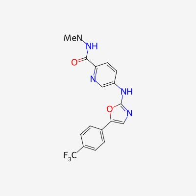 CNNC(=O)c1ccc(Nc2ncc(-c3ccc(C(F)(F)F)cc3)o2)cn1